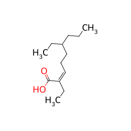 CCCC(CC)CCC=C(CC)C(=O)O